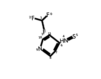 FC(F)F.N=S.c1ccncc1